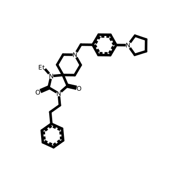 CCN1C(=O)N(CCc2ccccc2)C(=O)C12CCN(Cc1ccc(N3CCCC3)cc1)CC2